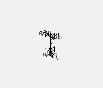 CC(C)(C)OC(=O)NC(=N)N(CCCOCCCNC(=N)NC(=O)c1nc(Cl)c(N)nc1N)C(=O)OC(C)(C)C